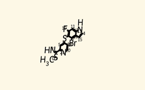 CSC(=N)c1cc(Sc2c(F)cc3[nH]ccc3c2Br)ccn1